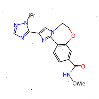 CONC(=O)c1ccc2c(c1)OCCn1cc(-c3ncnn3C(C)C)nc1-2